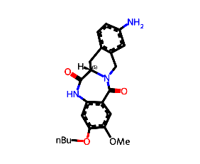 CCCCOc1cc2c(cc1OC)C(=O)N1Cc3cc(N)ccc3C[C@H]1C(=O)N2